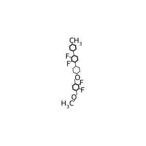 CCOCc1ccc(COC2CCC(c3ccc(-c4ccc(C)cc4)c(F)c3F)CC2)c(F)c1F